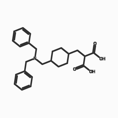 O=C(O)C(CC1CCC(CN(Cc2ccccc2)Cc2ccccc2)CC1)C(=O)O